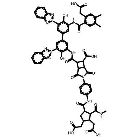 CNC(=O)C1C(C(=O)Nc2ccc(N3C(=O)C4C(C(=O)O)C(C(=O)Nc5cc(-c6cc(NC(=O)c7cc(C)c(C)cc7CC(=O)O)c(O)c(-n7nc8ccccc8n7)c6)cc(-n6nc7ccccc7n6)c5O)C4C3=O)cc2)CC(CC(=O)O)C1CC(=O)O